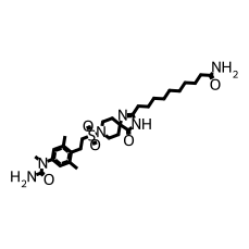 Cc1cc(N(C)C(N)=O)cc(C)c1CCS(=O)(=O)N1CCC2(CC1)N=C(CCCCCCCCCC(N)=O)NC2=O